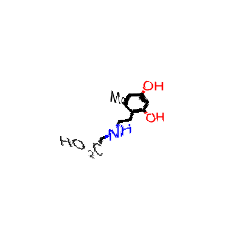 O=C(O)CNCCc1ccc(O)cc1O.[Mo]